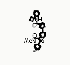 CNC(=O)c1c(-c2ccc(F)cc2)sc2ccc(-c3cccc(C(=O)NC4(c5ccccc5)CCC4)c3)cc12